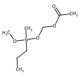 CCC[Si](C)(OC)OCOC(C)=O